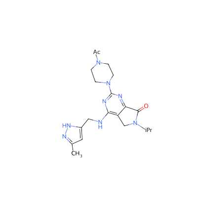 CC(=O)N1CCN(c2nc(NCc3cc(C)n[nH]3)c3c(n2)C(=O)N(C(C)C)C3)CC1